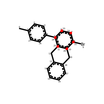 Cc1ccc(-c2ccc(Br)c3c2C2c4ccccc4C3c3ccccc32)cc1